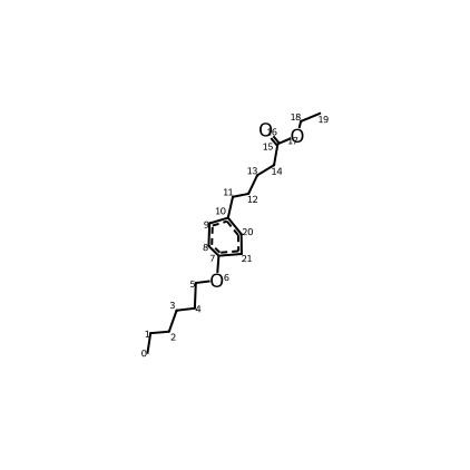 CCCCCCOc1ccc(CCCCC(=O)OCC)cc1